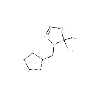 CC1(O)NC=NN1CC1CCCC1